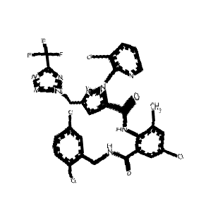 Cc1cc(Cl)cc(C(=O)NCc2cc(Cl)ccc2Cl)c1NC(=O)c1cc(Cn2nnc(C(F)(F)F)n2)nn1-c1ncccc1Cl